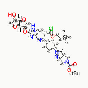 CC(C)(C)OC(=O)N1Cc2cn(-c3ccc(-c4nc5nc(O[C@@H]6CO[C@H]7[C@@H]6OC[C@H]7O)[nH]c5cc4C(Cl)OCC[Si](C)(C)C)cc3)nc2C1